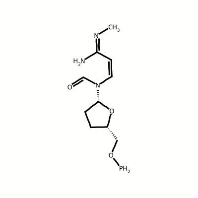 C/N=C(N)\C=C/N(C=O)[C@H]1CC[C@@H](COP)O1